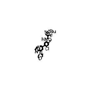 CC(C)(C)n1ncc(C(=O)Nc2cc(-c3cc(N4CCOCC4)c4nccn4c3)c(Cl)cc2F)c1F